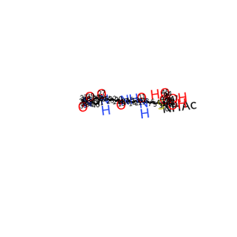 CC(=O)NC1[C@H](SCCCCCNC(=O)CCCCCNC(=O)CCCCCNC(=O)C2CCC(CN3C(=O)C=CC3=O)CC2)OC(CO)[C@H](O)[C@H]1O